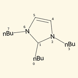 CCCCC1N(CCCC)C=CN1CCCC